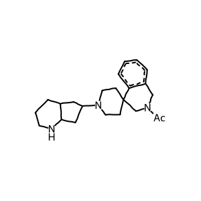 CC(=O)N1Cc2ccccc2C2(CCN(C3CC4CCCNC4C3)CC2)C1